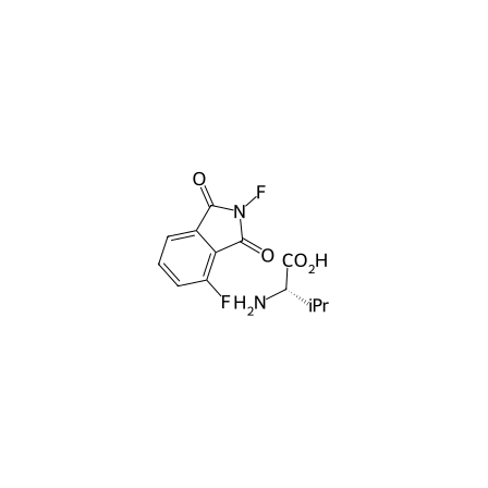 CC(C)[C@H](N)C(=O)O.O=C1c2cccc(F)c2C(=O)N1F